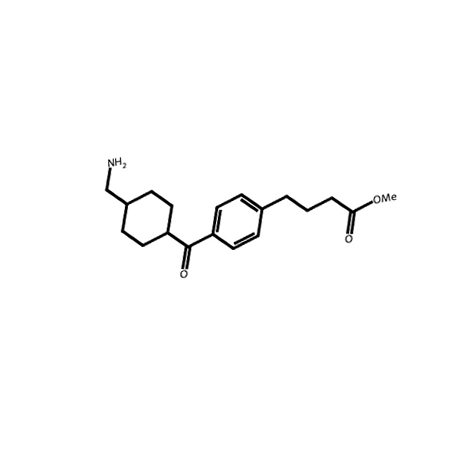 COC(=O)CCCc1ccc(C(=O)C2CCC(CN)CC2)cc1